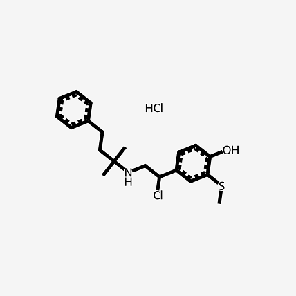 CSc1cc(C(Cl)CNC(C)(C)CCc2ccccc2)ccc1O.Cl